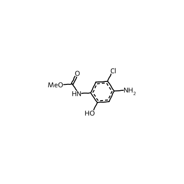 COC(=O)Nc1cc(Cl)c(N)cc1O